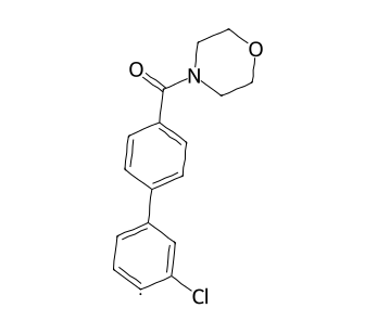 O=C(c1ccc(-c2cc[c]c(Cl)c2)cc1)N1CCOCC1